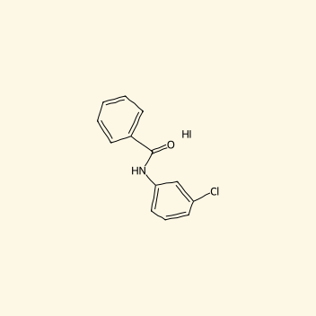 I.O=C(Nc1cccc(Cl)c1)c1ccccc1